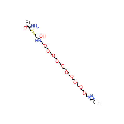 CC(=O)[C@@H](N)CSSCCC(O)NCCOCCOCCOCCOCCOCCOCCOCCOCCOCCOCCn1cc(C)nn1